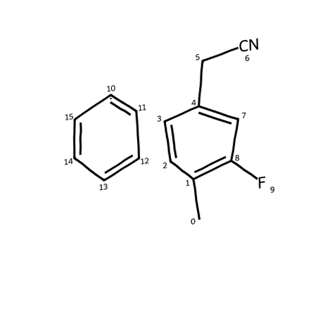 Cc1ccc(CC#N)cc1F.[c]1ccccc1